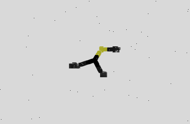 CCCCC(CC)SC(C)C